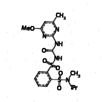 COc1cc(C)nc(NC(=O)NS(=O)(=O)c2ccccc2S(=O)(=O)N(C)C(C)C)n1